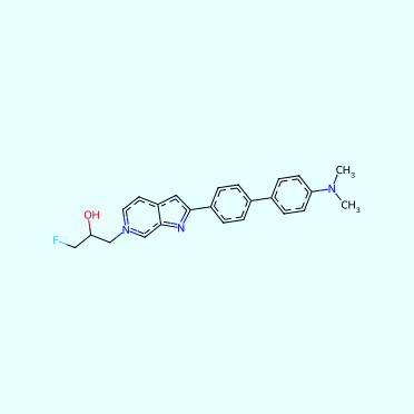 CN(C)c1ccc(-c2ccc(-c3cc4ccn(CC(O)CF)cc-4n3)cc2)cc1